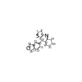 C1=C2C(=NC3=C(SCC3)C2c2ccc3c(c2)COC3)CCC1